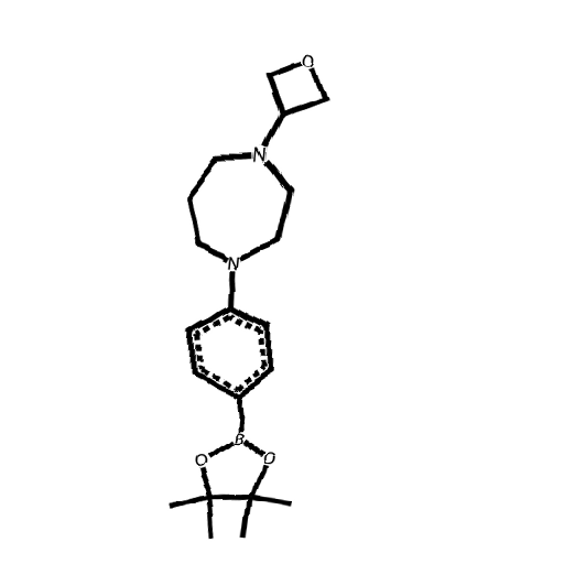 CC1(C)OB(c2ccc(N3CCCN(C4COC4)CC3)cc2)OC1(C)C